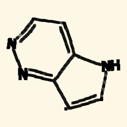 [c]1c[nH]c2ccnnc12